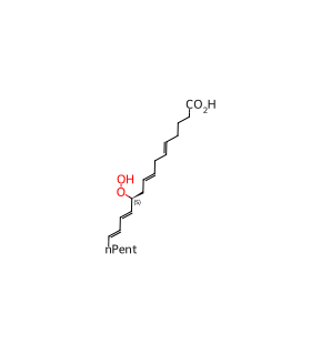 CCCCCC=CC=C[C@H](CC=CCC=CCCCC(=O)O)OO